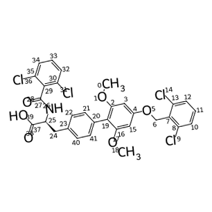 COc1cc(OCc2c(Cl)cccc2Cl)cc(OC)c1-c1ccc(C[C@H](NC(=O)c2c(Cl)cccc2Cl)C(=O)O)cc1